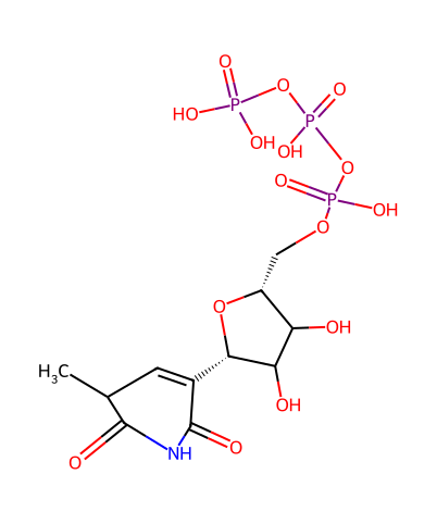 CC1C=C([C@@H]2O[C@H](COP(=O)(O)OP(=O)(O)OP(=O)(O)O)C(O)C2O)C(=O)NC1=O